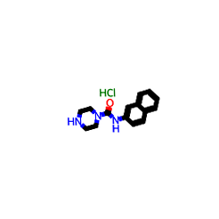 Cl.O=C(Nc1ccc2ccccc2c1)N1CCNCC1